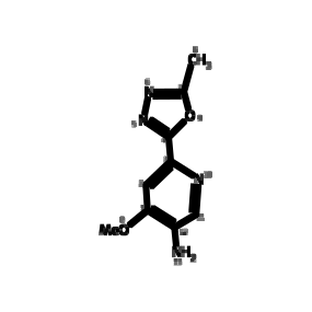 COc1cc(-c2nnc(C)o2)ncc1N